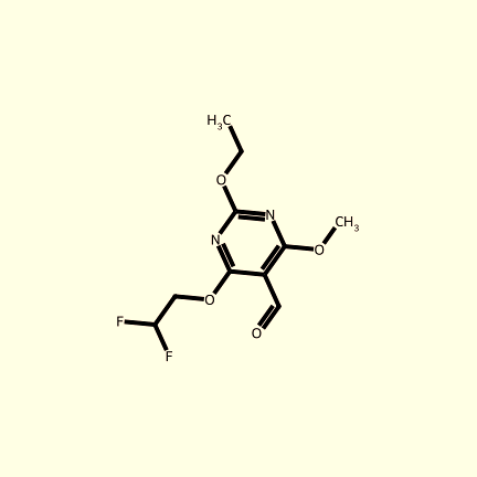 CCOc1nc(OC)c(C=O)c(OCC(F)F)n1